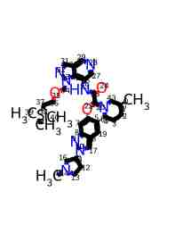 C[C@H]1CC[C@H](c2ccc3nn([C@H]4CCN(C)C4)cc3c2)N(C(=O)C(=O)Nc2cncc3cnn(COCC[Si](C)(C)C)c23)C1